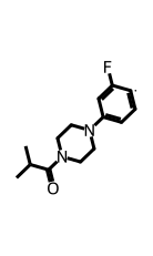 CC(C)C(=O)N1CCN(c2cc[c]c(F)c2)CC1